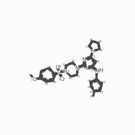 COc1ccc(S(=O)(=O)N2CCN(c3nc(Nc4ccc(C)cc4)cc(N4CCCC4)n3)CC2)cc1